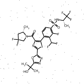 C[C@H](NS(=O)(=O)c1ccc(-c2sc(-c3nnc(C(C)(C)O)o3)nc2C(=O)N2CC(F)(F)C[C@@H]2C)c(C(F)F)c1F)C(F)(F)F